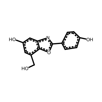 OCc1cc(O)cc2nc(-c3ccc(O)cc3)oc12